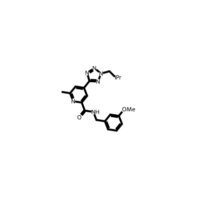 COc1cccc(CNC(=O)c2cc(-c3nnn(CC(C)C)n3)cc(C)n2)c1